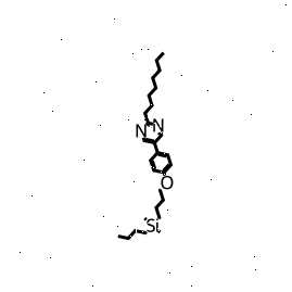 CCCCCCCCc1ncc(-c2ccc(OCCCC[Si](C)(C)CCCC)cc2)cn1